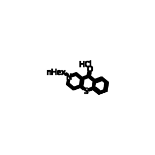 CCCCCCN1CCc2sc3ccccc3c(=O)c2C1.Cl